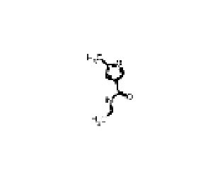 CCNC(=O)c1coc(C)c1